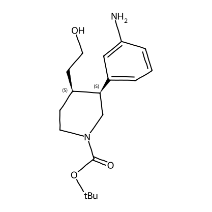 CC(C)(C)OC(=O)N1CC[C@@H](CCO)[C@@H](c2cccc(N)c2)C1